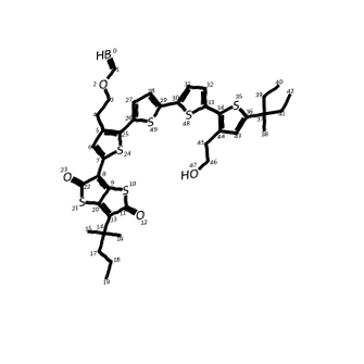 B=COCCc1cc(C2=C3SC(=O)C(C(C)(C)CCC)=C3SC2=O)sc1-c1ccc(-c2ccc(-c3sc(C(C)(CC)CC)cc3CCO)s2)s1